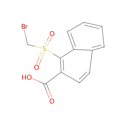 O=C(O)c1ccc2ccccc2c1S(=O)(=O)CBr